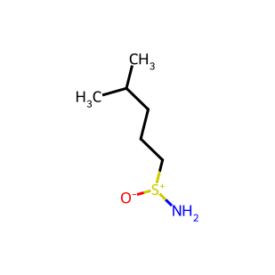 CC(C)CCC[S+](N)[O-]